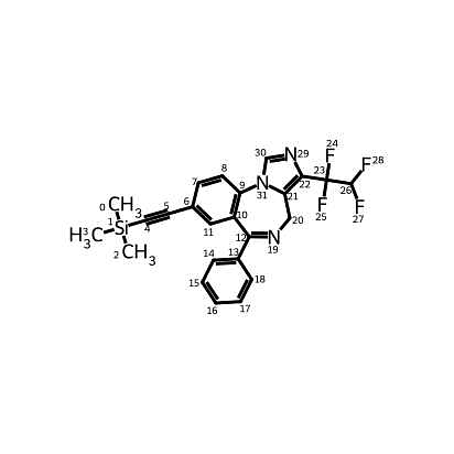 C[Si](C)(C)C#Cc1ccc2c(c1)C(c1ccccc1)=NCc1c(C(F)(F)C(F)F)ncn1-2